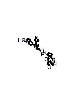 O=C1CCC(N2C(=O)c3cccc(NCCOCCCn4cc(-c5ccc6c(c5)CC/C6=N\O)c(-c5ccncc5)n4)c3C2=O)C(=O)N1